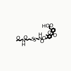 CC(=O)CCNC(=O)CCCSSCCNC(=O)OCc1ccc2c(=O)c3cccc(CC(=O)O)c3oc2c1C